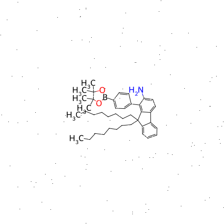 CCCCCCCCC1(CCCCCCCC)c2ccccc2-c2ccc(N)c(-c3ccc(B4OC(C)(C)C(C)(C)O4)cc3)c21